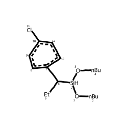 CCCCO[SiH](OCCCC)C(CC)c1ccc(Cl)cc1